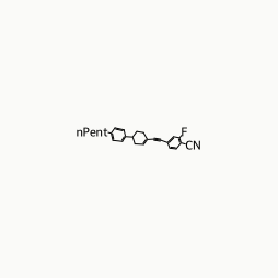 CCCCCc1ccc(C2CC=C(C#Cc3ccc(C#N)c(F)c3)CC2)cc1